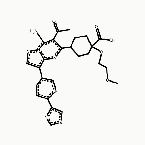 COCCOC1(C(=O)O)CCC(c2nc3c(-c4ccc(-c5cscn5)nc4)cnn3c(N)c2C(C)=O)CC1